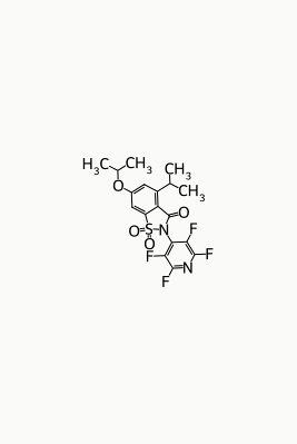 CC(C)Oc1cc(C(C)C)c2c(c1)S(=O)(=O)N(c1c(F)c(F)nc(F)c1F)C2=O